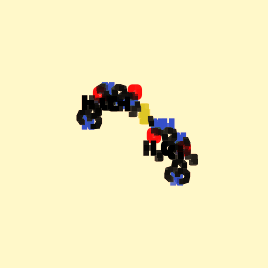 CC1(C)c2cc(C(=O)NCCSSCCNC(=O)c3ccc4c(c3)C(C)(C)C3(/C=C/c5cc6c7c(c5)CCCN7CCC6)OCCN43)ccc2N2CCOC21/C=C/c1cc2c3c(c1)CCCN3CCC2